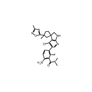 Cc1noc(C2(C)CCC3(CNc4ncc(-c5ccc(N)c(C(=O)N(C)C)c5F)c(Cl)c43)C2)n1